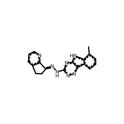 Cc1cccc2c1[nH]c1nc(N/N=C3\CCc4cccnc43)nnc12